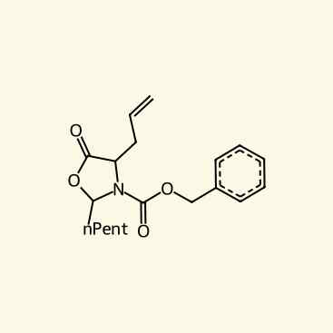 C=CCC1C(=O)OC(CCCCC)N1C(=O)OCc1ccccc1